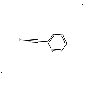 IC#Cc1ccccn1